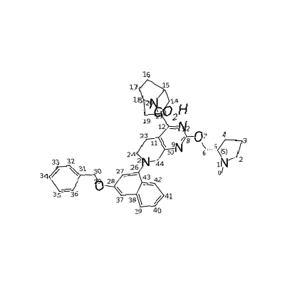 CN1CCC[C@H]1COc1nc2c(c(C3CC4CCC(C3)N4C(=O)O)n1)CCN(c1cc(OCc3ccccc3)cc3ccccc13)C2